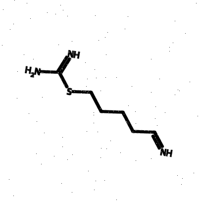 N=CCCCCSC(=N)N